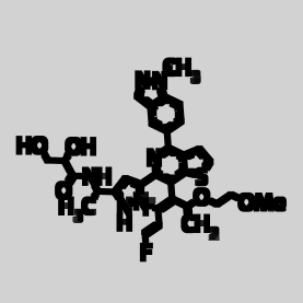 C=C(OCCOC)/C(=C(F)\C=C\F)c1c(-c2cc([C@@H](C)NC(=O)[C@H](O)CO)[nH]n2)nc(-c2ccc3c(cnn3C)c2)c2ccsc12